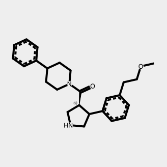 COCCc1cccc(C2CNC[C@H]2C(=O)N2CCC(c3ccccc3)CC2)c1